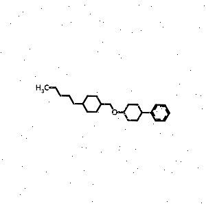 CCCCCC1CCC(COC2CCC(c3ccccc3)CC2)CC1